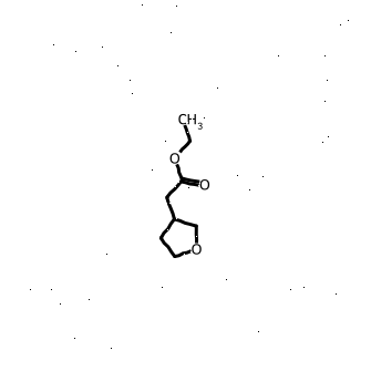 CCOC(=O)CC1CCOC1